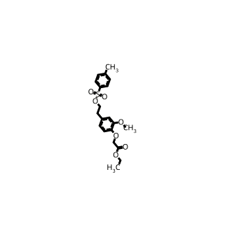 CCOC(=O)COc1ccc(CCOS(=O)(=O)c2ccc(C)cc2)cc1OC